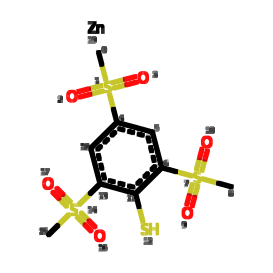 CS(=O)(=O)c1cc(S(C)(=O)=O)c(S)c(S(C)(=O)=O)c1.[Zn]